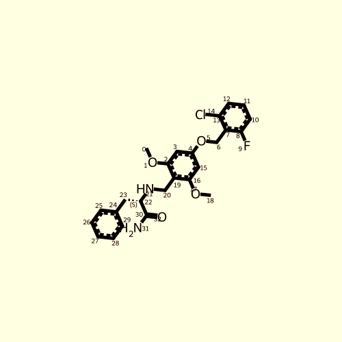 COc1cc(OCc2c(F)cccc2Cl)cc(OC)c1CN[C@@H](Cc1ccccc1)C(N)=O